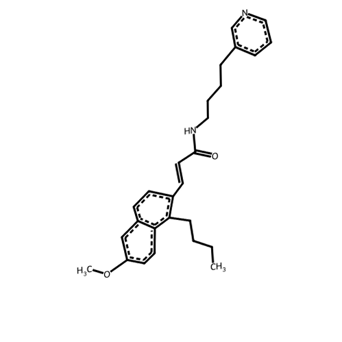 CCCCc1c(/C=C/C(=O)NCCCCc2cccnc2)ccc2cc(OC)ccc12